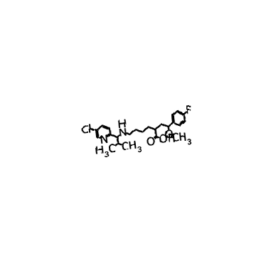 COC(CC(CCCCNC(c1ccc(Cl)cn1)C(C)C)C(=O)O)c1ccc(F)cc1